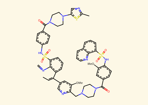 C=Nc1c(/C(=C\C)c2cnc(CN3CCN(C(=O)c4ccc(NS(=O)(=O)c5cccc6cccnc56)c(OC)c4)CC3)c(OC)c2)cccc1S(=O)(=O)Nc1ccc(C(=O)N2CCN(c3cnc(C)s3)CC2)cc1